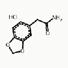 Cl.NC(=O)Cc1ccc2c(c1)OCO2